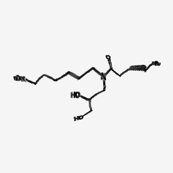 CCCCC=CCC(=O)N(CCCCCCCCCCCCCCCC)CC(O)CO